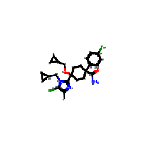 Cc1nc(C2(OCC3CC3)CCC(C(N)=O)(c3ccc(F)cc3)CC2)n(CC2CC2)c1Br